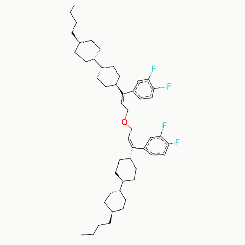 CCCC[C@H]1CC[C@H]([C@H]2CC[C@H](C(=CCOCC=C(c3ccc(F)c(F)c3)[C@H]3CC[C@H]([C@H]4CC[C@H](CCCC)CC4)CC3)c3ccc(F)c(F)c3)CC2)CC1